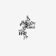 COC(=O)N[C@H](C(=O)Nc1cncc(F)c1CC[C@@H]1CN[C@H](c2nc3cc(F)c(F)cc3[nH]2)CO1)C(c1ccc(F)cc1)c1ccc(F)cc1